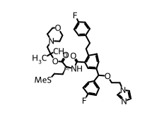 CSCC[C@H](NC(=O)c1cc(C(OCCn2ccnc2)c2ccc(F)cc2)ccc1CCc1ccc(F)cc1)C(=O)OC(C)(C)CN1CCOCC1